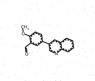 COc1ccc(-c2cnc3ccccc3c2)cc1C=O